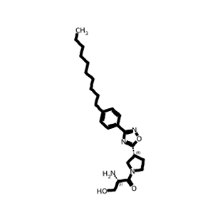 CCCCCCCCCCc1ccc(-c2noc([C@@H]3CCN(C(=O)[C@@H](N)CO)C3)n2)cc1